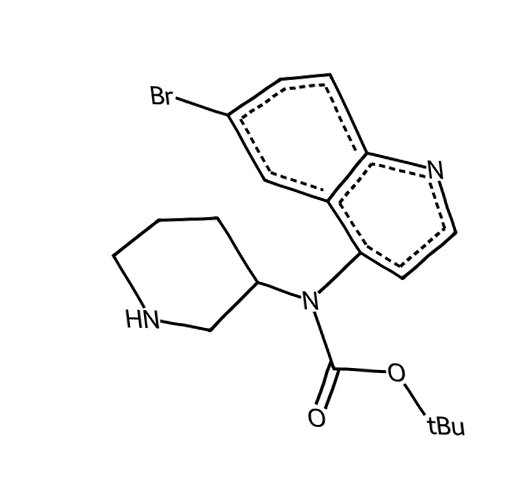 CC(C)(C)OC(=O)N(c1ccnc2ccc(Br)cc12)C1CCCNC1